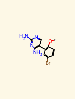 COc1ccc(Br)cc1-c1cnc(N)nc1N